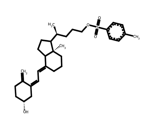 C=C1CC[C@@H](O)C/C1=C/C=C1\CCC[C@@]2(C)C1CCC2[C@@H](C)CCCOS(=O)(=O)c1ccc(C)cc1